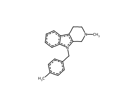 Cc1ccc(Cn2c3c(c4ccccc42)CCN(C)C3)cc1